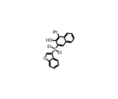 CCS(CC)(c1cc2ccccc2c(C(C)C)c1O)c1coc2ccccc12